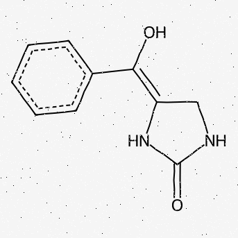 O=C1NCC(=C(O)c2ccccc2)N1